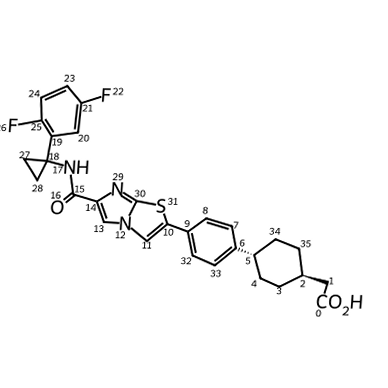 O=C(O)C[C@H]1CC[C@H](c2ccc(-c3cn4cc(C(=O)NC5(c6cc(F)ccc6F)CC5)nc4s3)cc2)CC1